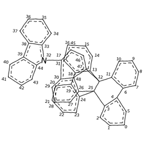 c1ccc2c(c1)-c1ccccc1C13c4ccccc4-c4ccccc4C21c1cccc2c(-n4c5ccccc5c5ccccc54)ccc3c12